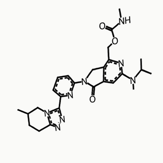 CNC(=O)OCc1nc(N(C)C(C)C)cc2c1CN(c1cccc(-c3nnc4n3CC(C)CC4)n1)C2=O